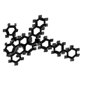 c1ccc(-n2c3ccccc3c3ccc(-c4cc5ccccc5cc4N(c4ccc(-c5ccc(C6CCCCC6)cc5)cc4)c4ccc(C5CCCCC5)cc4)cc32)cc1